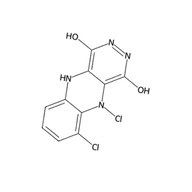 Oc1nnc(O)c2c1Nc1cccc(Cl)c1N2Cl